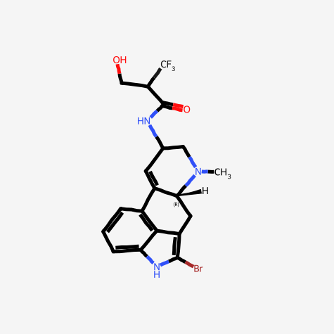 CN1CC(NC(=O)C(CO)C(F)(F)F)C=C2c3cccc4[nH]c(Br)c(c34)C[C@H]21